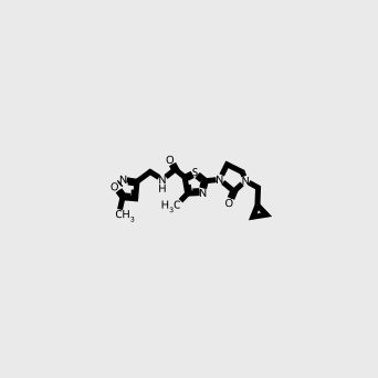 Cc1cc(CNC(=O)c2sc(N3CCN(CC4CC4)C3=O)nc2C)no1